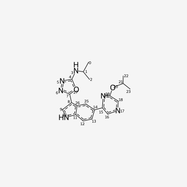 CC(C)Nc1nnc(-c2c[nH]c3ccc(-c4cncc(OC(C)C)n4)cc23)o1